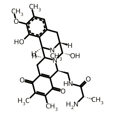 COc1c(C)cc2c(c1O)[C@@H]1[C@@H]3CC4=C(C(=O)C(C)=C(C)C4=O)[C@H](CNC(=O)[C@H](C)N)N3[C@@H](O)[C@@H](C2)N1C